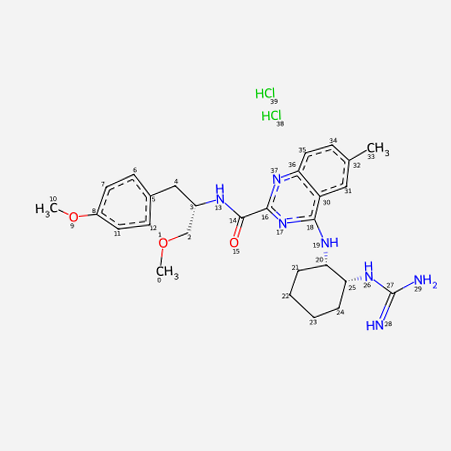 COC[C@H](Cc1ccc(OC)cc1)NC(=O)c1nc(N[C@H]2CCCC[C@H]2NC(=N)N)c2cc(C)ccc2n1.Cl.Cl